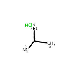 CCC(C)C#N.Cl